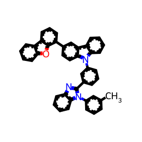 Cc1cccc(-n2c(-c3cccc(-n4c5ccccc5c5cc(-c6cccc7c6oc6ccccc67)ccc54)c3)nc3ccccc32)c1